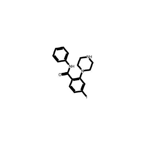 O=C(Nc1ccccc1)c1ccc(I)cc1N1CCNCC1